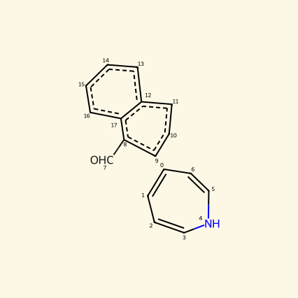 C1=CC=CNC=C1.O=Cc1cccc2ccccc12